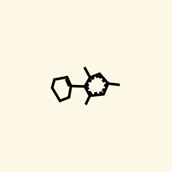 Cc1cc(C)c(C2=CCCCC2)c(C)c1